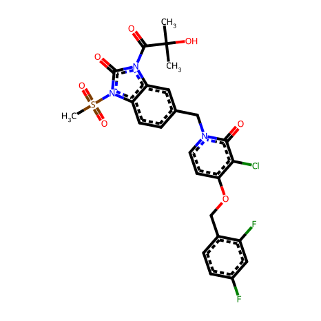 CC(C)(O)C(=O)n1c(=O)n(S(C)(=O)=O)c2ccc(Cn3ccc(OCc4ccc(F)cc4F)c(Cl)c3=O)cc21